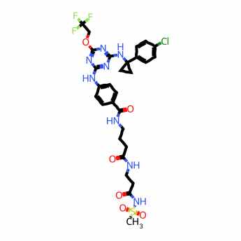 CS(=O)(=O)NC(=O)CCNC(=O)CCCNC(=O)c1ccc(Nc2nc(NC3(c4ccc(Cl)cc4)CC3)nc(OCC(F)(F)F)n2)cc1